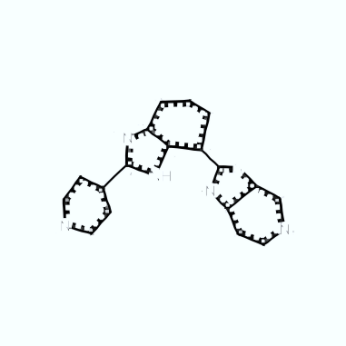 c1cc(-c2nc3ccncc3s2)c2[nH]c(-c3ccncc3)nc2c1